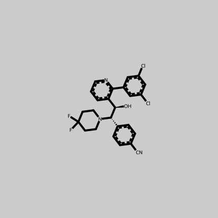 N#Cc1ccc([C@@H]([C@H](O)c2cccnc2-c2cc(Cl)cc(Cl)c2)N2CCC(F)(F)CC2)cc1